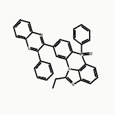 CCc1nc2cccc3c2n1-c1cc(-c2nc4ccccc4nc2-c2ccccc2)ccc1P3(=O)c1ccccc1